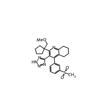 COCC1(c2nc3c(c(-c4cccc(S(C)(=O)=O)c4)c2-c2nn[nH]n2)CCCC3)CCCC1